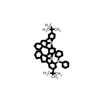 CC(C)(C)c1ccc2c(c1)c1cc3ccccc3c3c4c5c6c7ccccc7cc7c8cc(C(C)(C)C)cc(N(c9ccccc9)c9ccccc9)c8n(c5ccc4n2c13)c76